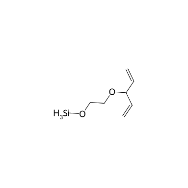 C=CC(C=C)OCCO[SiH3]